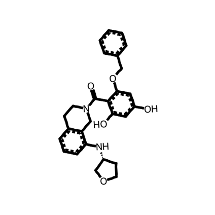 O=C(c1c(O)cc(O)cc1OCc1ccccc1)N1CCc2cccc(N[C@@H]3CCOC3)c2C1